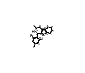 Cc1cc(F)c(C2NC(C)Cc3c2sc2ccccc32)c(F)c1